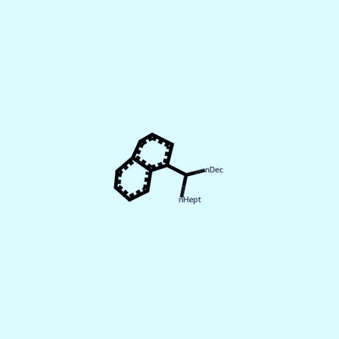 CCCCCCCCCCC(CCCCCCC)c1cccc2ccccc12